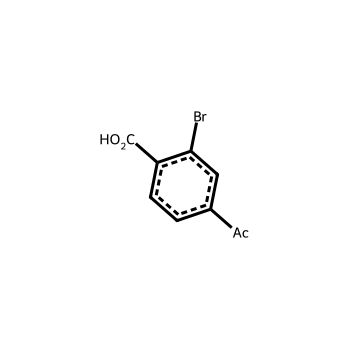 CC(=O)c1ccc(C(=O)O)c(Br)c1